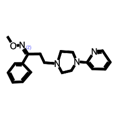 CO/N=C(/CCN1CCN(c2ccccn2)CC1)c1ccccc1